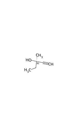 C#C[C@](C)(O)CC